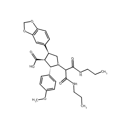 CCCNC(=O)C(C(=O)NCCC)N1C[C@H](c2ccc3c(c2)OCO3)[C@H](C(=O)O)[C@H]1c1ccc(OC)cc1